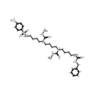 Cc1ccc(S(=O)(=O)NCCCCN(CCCCN(CCCCNC(=O)OCc2ccccc2)C(=O)OC(C)(C)C)C(=O)OC(C)(C)C)cc1